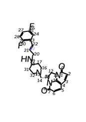 O=c1ccc2ccc(=O)n3c2n1C[C@H]3CN1CCC(NC/C=C/c2cc(F)ccc2F)CC1